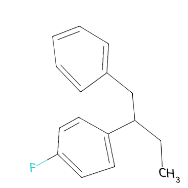 CCC(Cc1ccccc1)c1ccc(F)cc1